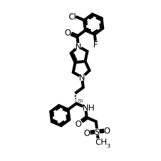 CS(=O)(=O)CC(=O)N[C@@H](CCN1CC2=CN(C(=O)c3c(F)cccc3Cl)CC2C1)c1ccccc1